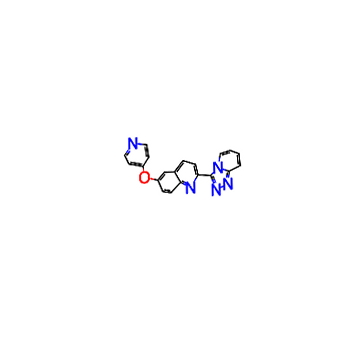 c1ccn2c(-c3ccc4cc(Oc5ccncc5)ccc4n3)nnc2c1